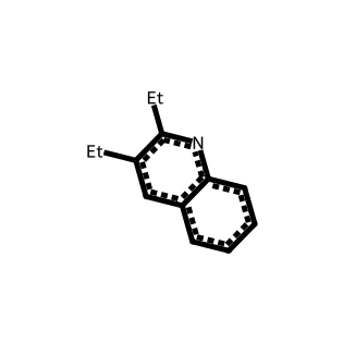 CCc1cc2ccccc2nc1CC